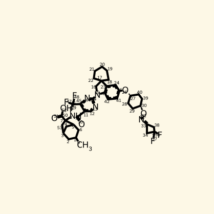 CC1CC2CC(C1)C(NC(=O)c1cnc(N3CC4(CCCCC4)c4cc(O[C@H]5CC[C@H](ON=C6CC(F)(F)C6)CC5)ccc43)nc1C(F)(F)F)(C(=O)O)C2